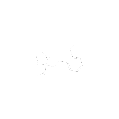 CCc1ccccc1CC[Si](OC)(OC)OC